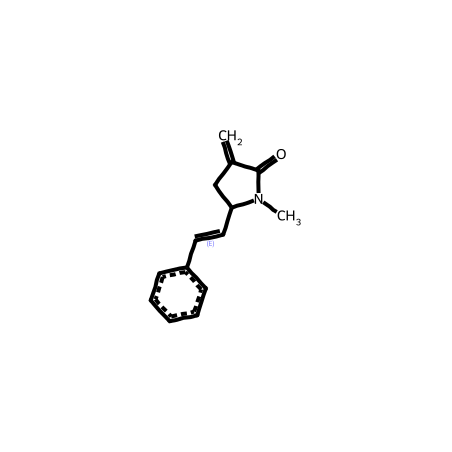 C=C1CC(/C=C/c2ccccc2)N(C)C1=O